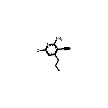 CCCc1cc(Cl)nc(N)c1C#N